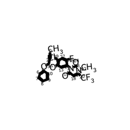 CC#CC(Oc1ccccc1)Oc1cc(-n2c(=O)cc(C(F)(F)F)n(C)c2=O)c(F)cc1Cl